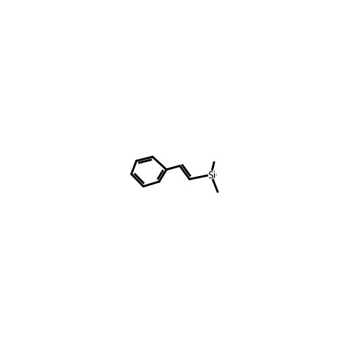 C[Si](C)C=Cc1ccccc1